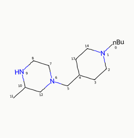 CCCCN1CCC(CN2CCNC(C)C2)CC1